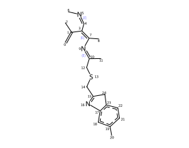 C=C(C)C(/C=N\C)=C(C)\N=C(/C)CSCC1=Nc2cc(C)ccc2C1